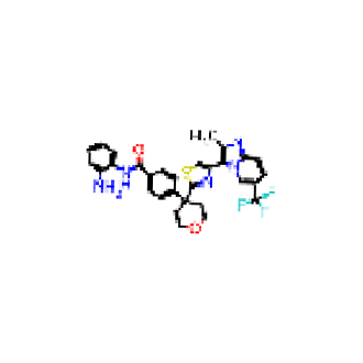 Cc1nc2ccc(C(F)(F)F)cn2c1-c1csc(C2(c3ccc(C(=O)Nc4ccccc4N)cc3)CCOCC2)n1